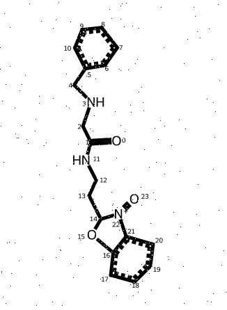 O=C(CNCc1ccccc1)NCCC1Oc2ccccc2[N+]1=O